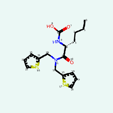 CCCC[C@@H](NC(=O)O)C(=O)N(Cc1cccs1)Cc1cccs1